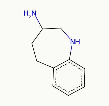 NC1CCc2ccccc2NC1